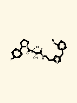 COc1cccc(Cc2csc(CCNC(=O)[C@H](O)[C@@H](O)C(=O)N3CCCC3c3ccc(F)cc3)c2)c1